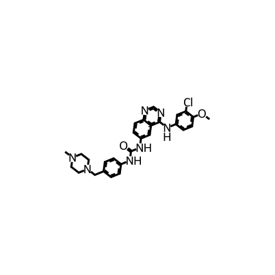 COc1ccc(Nc2ncnc3ccc(NC(=O)Nc4ccc(CN5CCN(C)CC5)cc4)cc23)cc1Cl